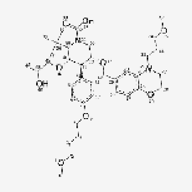 COCCCCOc1ccc([C@@H]2[C@@H](OCc3ccc4c(c3)N(CCCOC)CCO4)CN(C(=O)O)C(C(C)(C)C)[C@H]2OCC(C)O)cc1